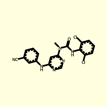 CN(C(=O)Nc1c(Cl)cccc1Cl)c1cc(Nc2cccc(C#N)c2)ncn1